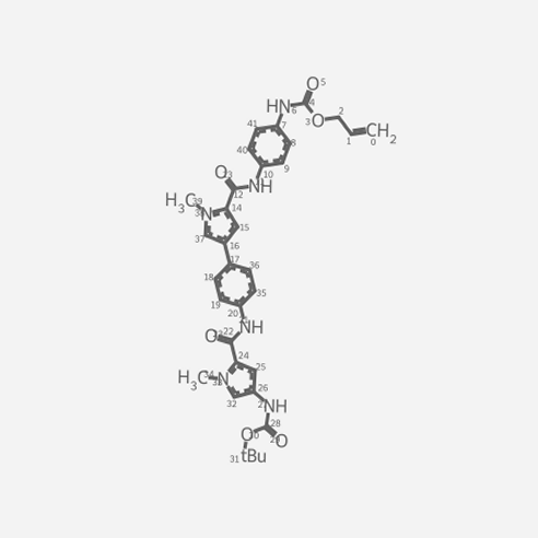 C=CCOC(=O)Nc1ccc(NC(=O)c2cc(-c3ccc(NC(=O)c4cc(NC(=O)OC(C)(C)C)cn4C)cc3)cn2C)cc1